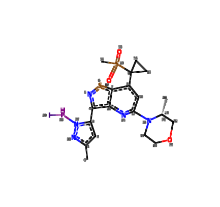 Cc1cc(-c2nsc3c(C4(S(C)(=O)=O)CC4)cc(N4CCOC[C@H]4C)nc23)n(PI)n1